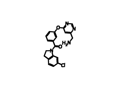 NCc1cc(Oc2cccc(C(=O)N3CCc4ccc(Cl)cc43)c2)ncn1